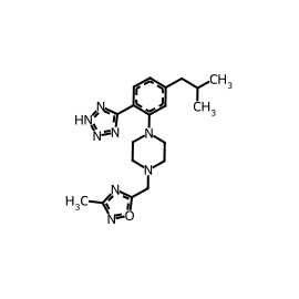 Cc1noc(CN2CCN(c3cc(CC(C)C)ccc3-c3nn[nH]n3)CC2)n1